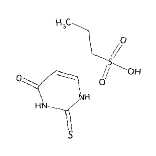 CCCS(=O)(=O)O.O=c1cc[nH]c(=S)[nH]1